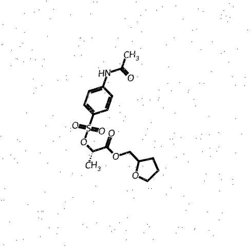 CC(=O)Nc1ccc(S(=O)(=O)O[C@@H](C)C(=O)OCC2CCCO2)cc1